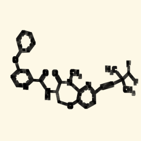 CN1C(=O)C(NC(=O)c2cc(Oc3ccccc3)ccn2)COc2ccc(C#CC(C)(C)C(F)F)nc21